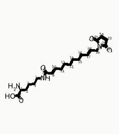 N[C@@H](CCCCNC(=O)CCCCCCCCCCCN1C(=O)C=CC1=O)C(=O)O